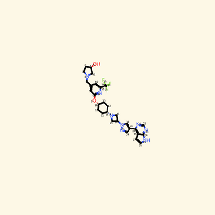 O[C@@H]1CCN(Cc2cc(O[C@H]3CC[C@@H](N4C[C](n5cc(-c6ncnc7[nH]ccc67)cn5)C4)CC3)nc(C(F)(F)F)c2)C1